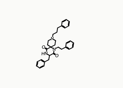 O=C1C(Cc2ccccc2)NC(=O)C2(CCN(CCCc3ccccc3)CC2)N1CCc1ccccc1